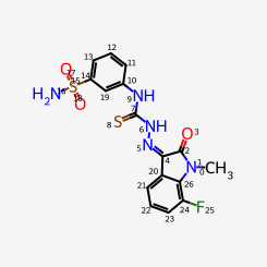 CN1C(=O)C(=NNC(=S)Nc2cccc(S(N)(=O)=O)c2)c2cccc(F)c21